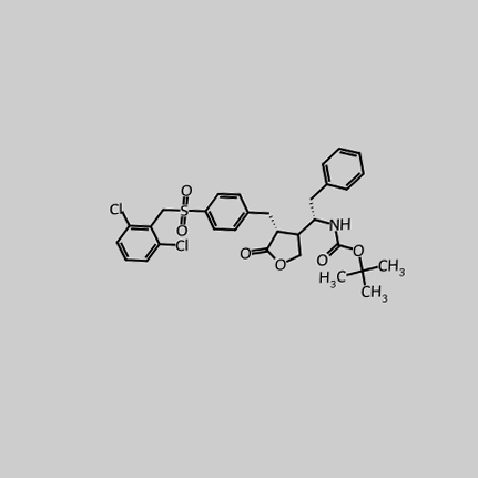 CC(C)(C)OC(=O)N[C@@H](Cc1ccccc1)C1COC(=O)[C@@H]1Cc1ccc(S(=O)(=O)Cc2c(Cl)cccc2Cl)cc1